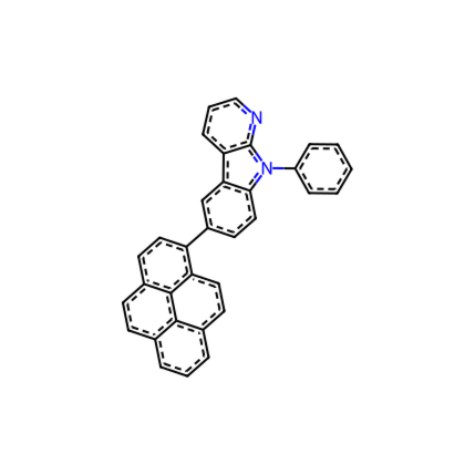 c1ccc(-n2c3ccc(-c4ccc5ccc6cccc7ccc4c5c67)cc3c3cccnc32)cc1